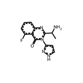 CC(N)c1nc2cccc(F)c2c(=O)n1-c1cc[nH]n1